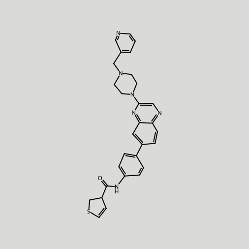 O=C(Nc1ccc(-c2ccc3ncc(N4CCN(Cc5cccnc5)CC4)nc3c2)cc1)C1C=CSC1